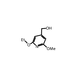 CCOc1cc(CO)cc(OC)n1